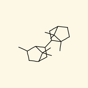 CC1CC2CC([C]3CC4CCC3(C)C4(C)C)C1C2(C)C